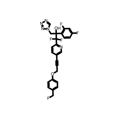 OC(Cn1cnnn1)(c1ccc(F)cc1F)C(F)(F)c1ccc(C#CCOc2ccc(CF)cc2)cn1